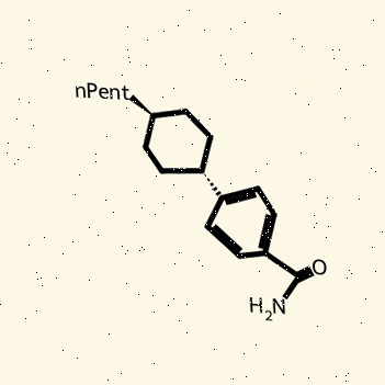 CCCCC[C@H]1CC[C@H](c2ccc(C(N)=O)cc2)CC1